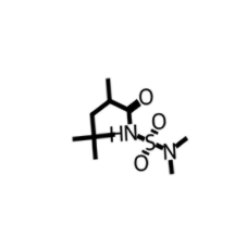 CC(CC(C)(C)C)C(=O)NS(=O)(=O)N(C)C